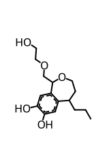 CCCC1CCOC(COCCO)c2cc(O)c(O)cc21